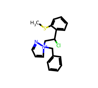 CSc1ccccc1C(Cl)C[N+]1(Cc2ccccc2)C=CC=N1